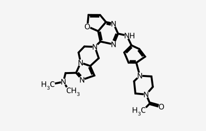 CC(=O)N1CCN(c2ccc(Nc3nc(N4CCn5c(cnc5CN(C)C)C4)c4occc4n3)cc2)CC1